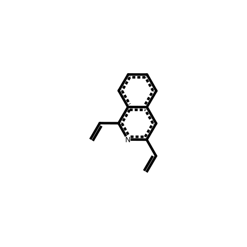 C=Cc1cc2ccccc2c(C=C)n1